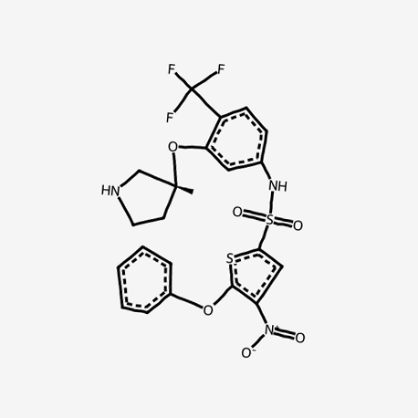 C[C@@]1(Oc2cc(NS(=O)(=O)c3cc([N+](=O)[O-])c(Oc4ccccc4)s3)ccc2C(F)(F)F)CCNC1